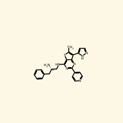 Cc1sc2c(NC[C@@H](N)Cc3ccccc3)nc(-c3ccncc3)nc2c1-c1ccn[nH]1